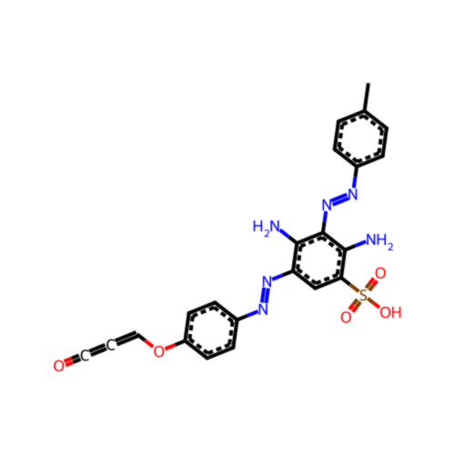 Cc1ccc(/N=N/c2c(N)c(/N=N/c3ccc(OC=C=C=O)cc3)cc(S(=O)(=O)O)c2N)cc1